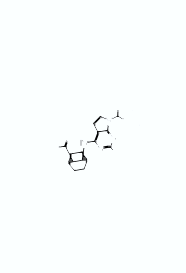 CC(C)n1ccc2c(NC3C4CCC(CC4)C3C(=O)O)nc(Cl)nc21